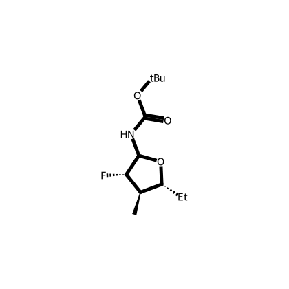 CC[C@H]1OC(NC(=O)OC(C)(C)C)[C@@H](F)[C@@H]1C